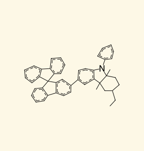 CCC1CCC2(C)N(c3ccccc3)c3ccc(-c4ccc5c(c4)C4(c6ccccc6-c6ccccc64)c4ccccc4-5)cc3C2(C)C1